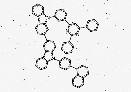 c1ccc(-c2cc(-c3cccc(-n4c5ccccc5c5ccc(-c6ccc7c(c6)c6ccccc6n7-c6ccc(-c7cccc8ccccc78)cc6)cc54)c3)nc(-c3ccccc3)n2)cc1